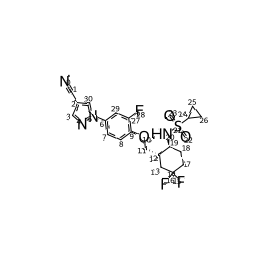 N#Cc1cnn(-c2ccc(OC[C@H]3CC(F)(F)CC[C@@H]3NS(=O)(=O)C3CC3)c(F)c2)c1